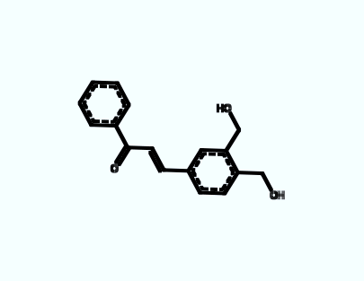 O=C(/C=C/c1ccc(CO)c(CO)c1)c1ccccc1